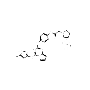 Cc1cc(Nc2nc(Sc3ccc(NC(=O)CN4CC[C@@H](OP(=O)(O)O)C4)cc3)nc3cccn23)n[nH]1